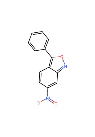 O=[N+]([O-])c1ccc2c(-c3ccccc3)onc2c1